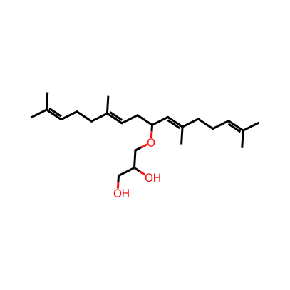 CC(C)=CCC/C(C)=C/CC(/C=C(\C)CCC=C(C)C)OCC(O)CO